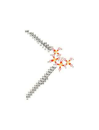 O=P([O-])([O-])OP(=O)([O-])OP(=O)([O-])OP(=O)([O-])[O-].[KH].[KH].[KH].[KH].[KH].[KH].[KH].[KH].[KH].[KH].[KH].[KH].[Na+].[Na+].[Na+].[Na+].[Na+].[Na+].[NaH].[NaH].[NaH].[NaH].[NaH].[NaH]